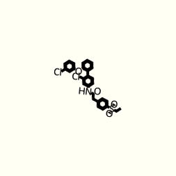 CCS(=O)(=O)c1ccc(CC(=O)Nc2ccc(-c3ccccc3Oc3cccc(Cl)c3)c(Cl)c2)cc1